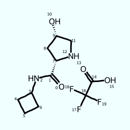 O=C(NC1CCC1)[C@@H]1C[C@H](O)CN1.O=C(O)C(F)(F)F